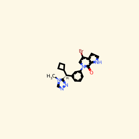 Cn1cnnc1[C@@H](c1cccc(-n2cc(Br)c3cc[nH]c3c2=O)c1)C1CCC1